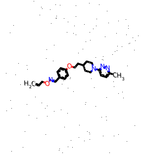 C=CCON=Cc1ccc(OCCC2CCN(c3ccc(C)nn3)CC2)cc1